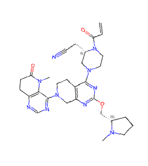 C=CC(=O)N1CCN(c2nc(OC[C@@H]3CCCN3C)nc3c2CCN(c2ncnc4c2N(C)C(=O)CC4)C3)C[C@@H]1CC#N